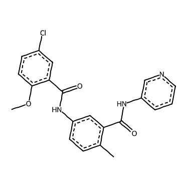 COc1ccc(Cl)cc1C(=O)Nc1ccc(C)c(C(=O)Nc2cccnc2)c1